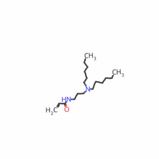 C=CC(=O)NCCCN(CCCCCC)CCCCCC